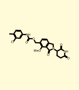 COc1c(COC(=O)Nc2ccc(C)c(Cl)c2)ccc2c1C(=O)N(C1CCC(=O)NC1=O)C2